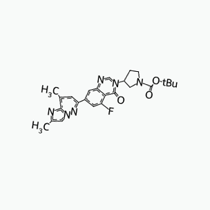 Cc1cn2nc(-c3cc(F)c4c(=O)n(C5CCN(C(=O)OC(C)(C)C)C5)cnc4c3)cc(C)c2n1